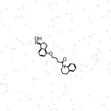 O=C(CCCOc1cccc2c1CC/C2=N\O)N1CCCc2ccccc21